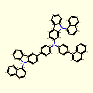 c1ccc2c(-c3ccc(N(c4ccc(-c5ccc6c(c5)c5ccccc5n6-c5cccc6ccccc56)cc4)c4ccc5c6ccccc6n(-c6cccc7ccccc67)c5c4)cc3)cccc2c1